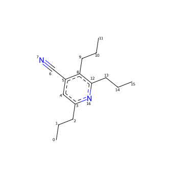 CCCc1cc(C#N)c(CCC)c(CCC)n1